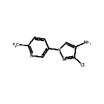 Nc1cn(-c2ccc(C(F)(F)F)nc2)nc1Cl